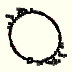 O=C(O)CN1CCN(CC(=O)O)CC(=O)Nc2ccc(cc2)C#Cc2cnc3c(ccc4cc(cnc43)-c3ccc(cc3)NC(=O)CN(CC(=O)O)CCN(CC(=O)O)CCN(CC(=O)O)CC(=O)Nc3ccc(cc3)-c3cnc4c(ccc5cc(cnc54)-c4ccc(cc4)NC(=O)CN(CC(=O)O)CC1)c3)c2